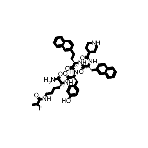 CC(F)C(=O)NCCCC[C@H](NC(=O)[C@H](Cc1ccc(O)cc1)NC(=O)[C@@H](CCc1ccc2ccccc2c1)NC(=O)[C@@H](Cc1ccc2ccccc2c1)NC(=O)C1CCNCC1)C(N)=O